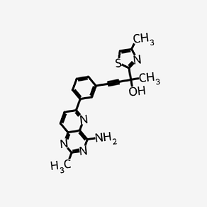 Cc1csc(C(C)(O)C#Cc2cccc(-c3ccc4nc(C)nc(N)c4n3)c2)n1